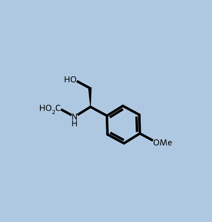 COc1ccc([C@H](CO)NC(=O)O)cc1